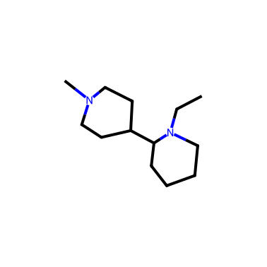 CCN1CCCCC1C1CCN(C)CC1